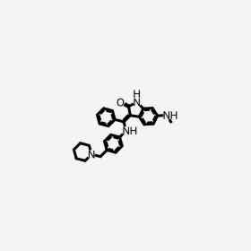 CNc1ccc2c(c1)NC(=O)/C2=C(/Nc1ccc(CN2CCCCC2)cc1)c1ccccc1